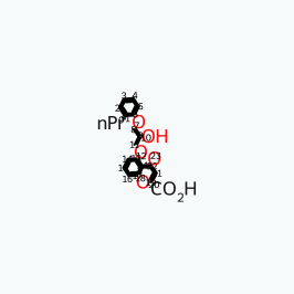 CCCc1ccccc1OCC(O)COc1cccc2oc(C(=O)O)cc(=O)c12